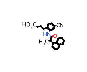 CC(C(=O)Nc1cc(C#N)ccc1CCCC(=O)O)c1cccc2ccccc12